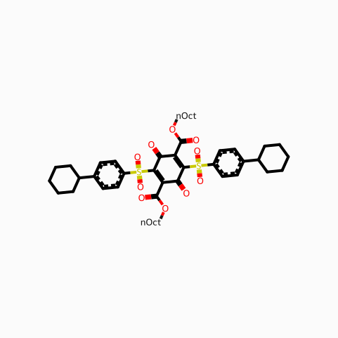 CCCCCCCCOC(=O)C1=C(S(=O)(=O)c2ccc(C3CCCCC3)cc2)C(=O)C(C(=O)OCCCCCCCC)=C(S(=O)(=O)c2ccc(C3CCCCC3)cc2)C1=O